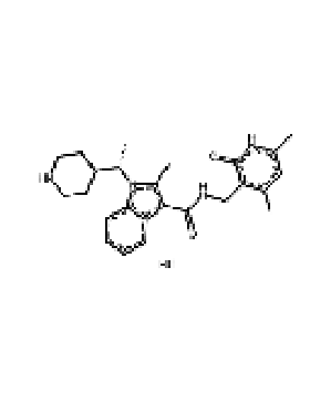 Cc1cc(C)c(CNC(=O)c2c(C)n([C@@H](C)C3CCNCC3)c3ccccc23)c(=O)[nH]1.Cl